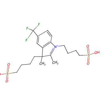 CC1=[N+](CCCCS(=O)(=O)O)c2ccc(C(F)(F)F)cc2C1(C)CCCCS(=O)(=O)O